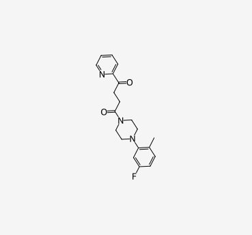 Cc1ccc(F)cc1N1CCN(C(=O)CCC(=O)c2ccccn2)CC1